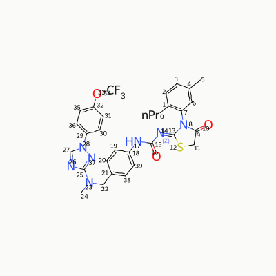 CCCc1ccc(C)cc1N1C(=O)CS/C1=N\C(=O)Nc1ccc(CN(C)c2ncn(-c3ccc(OC(F)(F)F)cc3)n2)cc1